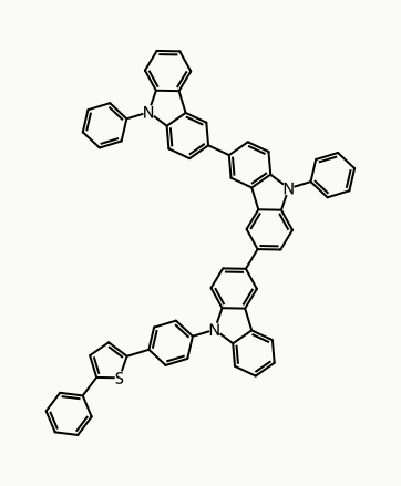 c1ccc(-c2ccc(-c3ccc(-n4c5ccccc5c5cc(-c6ccc7c(c6)c6cc(-c8ccc9c(c8)c8ccccc8n9-c8ccccc8)ccc6n7-c6ccccc6)ccc54)cc3)s2)cc1